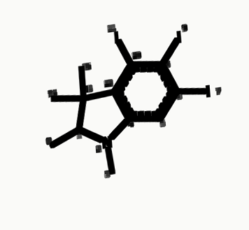 CC1N(C)c2cc(I)c(I)c(I)c2C1(C)C